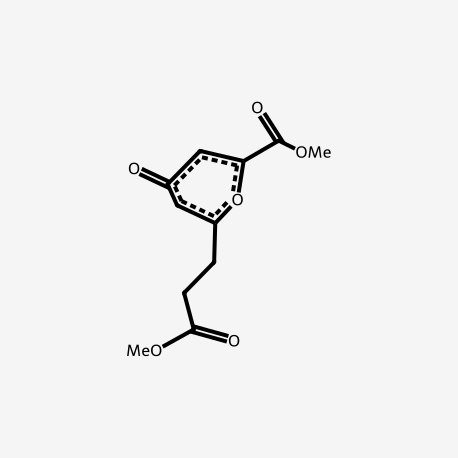 COC(=O)CCc1cc(=O)cc(C(=O)OC)o1